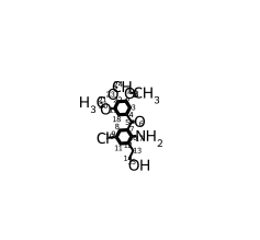 COc1cc(C(=O)c2cc(Cl)cc(CCO)c2N)cc(OC)c1OC